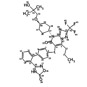 CCCc1c(Cc2ccc(-c3ccccc3-c3noc(=O)[nH]3)cc2)c(=O)n([C@H]2CC[C@H](OCC(C)(C)O)CC2)c2nc(C(F)(F)F)nn12